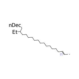 [CH2]/C=C/CCCCCCCCCCCCCC(CC)CCCCCCCCCC[CH2]